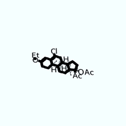 CCOC1=CC2=C(Cl)C[C@@H]3[C@H](CC[C@@]4(C)[C@H]3CC[C@@]4(OC(C)=O)C(C)=O)[C@@]2(C)CC1